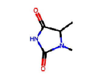 C[C]1C(=O)NC(=O)N1C